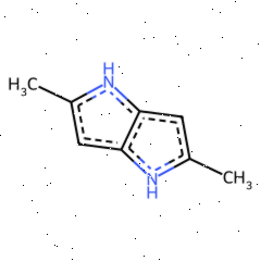 Cc1cc2[nH]c(C)cc2[nH]1